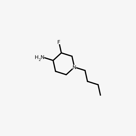 CCCCN1CCC(N)C(F)C1